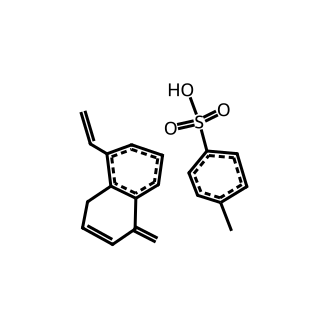 C=Cc1cccc2c1CC=CC2=C.Cc1ccc(S(=O)(=O)O)cc1